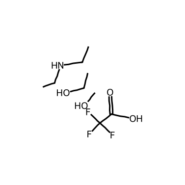 CCNCC.CCO.CO.O=C(O)C(F)(F)F